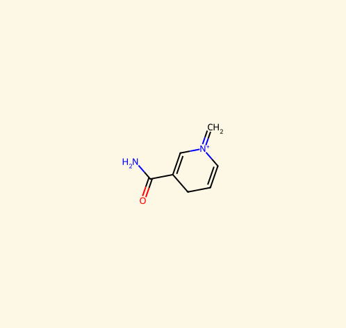 C=[N+]1C=CCC(C(N)=O)=C1